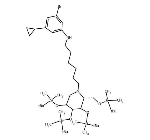 CC(C)(C)[Si](C)(C)OC[C@@H]1C(O[Si](C)(C)C(C)(C)C)C(O[Si](C)(C)C(C)(C)C)C(O[Si](C)(C)C(C)(C)C)CN1CCCCCCNc1cc(Br)cc(C2CC2)c1